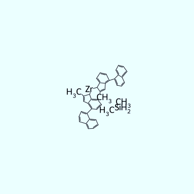 CC1=Cc2c(-c3cccc4ccccc34)cccc2[CH]1[Zr][CH]1C(C)=Cc2c(-c3cccc4ccccc34)cccc21.C[SiH2]C